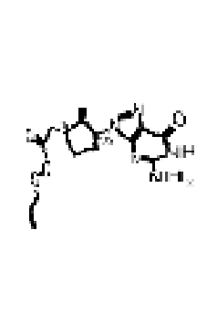 C=C1[C@H](CC(=O)OOCCC)CC[C@@H]1n1cnc2c(=O)[nH]c(N)nc21